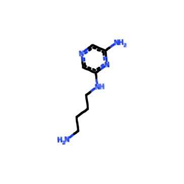 NCCCCNc1cncc(N)n1